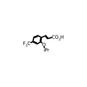 CC(C)Oc1cc(C(F)(F)F)ccc1/C=C/C(=O)O